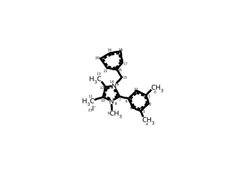 Cc1cc(C)cc(-c2n(C)c(C)c(C)[n+]2Cc2ccccc2)c1.[I-]